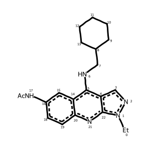 CCn1ncc2c(NCC3CCCCC3)c3cc(NC(C)=O)ccc3nc21